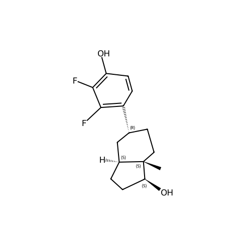 C[C@]12CC[C@@H](c3ccc(O)c(F)c3F)C[C@@H]1CC[C@@H]2O